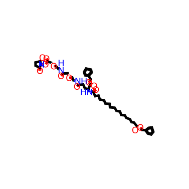 O=C(CCC(NC(=O)CCCCCCCCCCCCCCCCC(=O)OCc1ccccc1)C(=O)OCc1ccccc1)NCCOCC(=O)NCCOCC(=O)ON1C(=O)CCC1=O